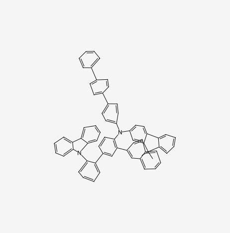 CC1(C)c2ccccc2-c2ccc(N(c3ccc(-c4ccc(-c5ccccc5)cc4)cc3)c3ccc(-c4ccccc4-n4c5ccccc5c5ccccc54)cc3-c3ccc4ccccc4c3)cc21